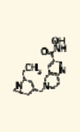 CCC1CC(CN2CCc3ncc(C(=O)NO)cc3C2)CC2CN12